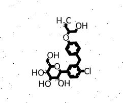 CCC(CO)Oc1ccc(Cc2cc(C3OC(CO)[C@@H](O)C(O)[C@H]3O)ccc2Cl)cc1